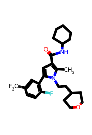 Cc1c(C(=O)NC2CCCCC2)cc(-c2cc(C(F)(F)F)ccc2F)n1CCC1CCOCC1